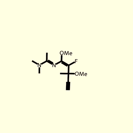 C#CC(C)(OC)/C(F)=C(\N=C(/C)N(C)C)OC